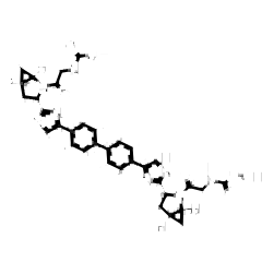 COC(=O)NCC(=O)N1[C@@H]2C[C@H]2C[C@H]1c1nc(-c2ccc(-c3ccc(-c4c[nH]c([C@@H]5C[C@H]6C[C@H]6N5C(=O)CNC(=O)O)n4)cc3)cc2)c[nH]1